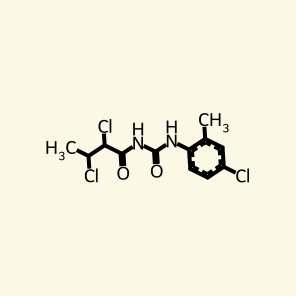 Cc1cc(Cl)ccc1NC(=O)NC(=O)C(Cl)C(C)Cl